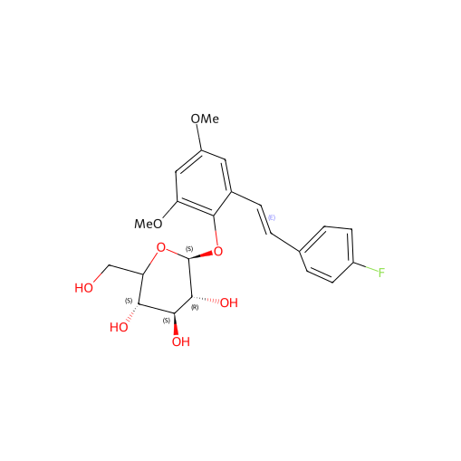 COc1cc(/C=C/c2ccc(F)cc2)c(O[C@@H]2OC(CO)[C@@H](O)[C@H](O)[C@H]2O)c(OC)c1